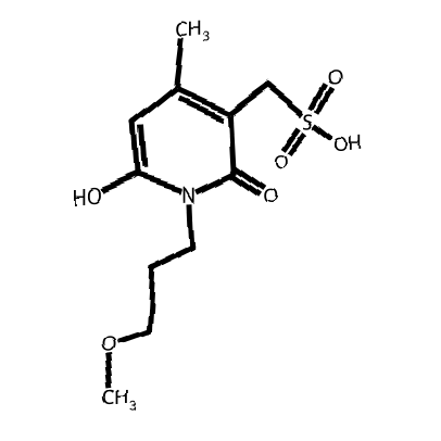 COCCCn1c(O)cc(C)c(CS(=O)(=O)O)c1=O